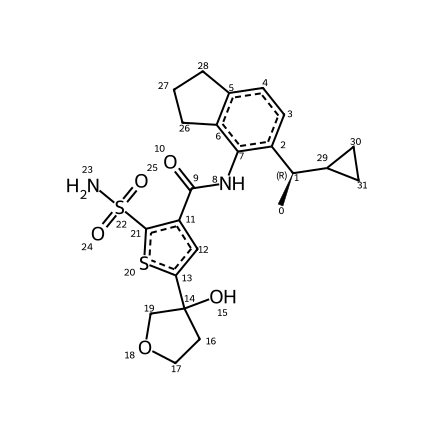 C[C@@H](c1ccc2c(c1NC(=O)c1cc(C3(O)CCOC3)sc1S(N)(=O)=O)CCC2)C1CC1